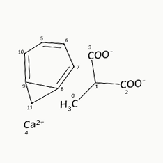 CC(C(=O)[O-])C(=O)[O-].[Ca+2].c1ccc2c(c1)C2